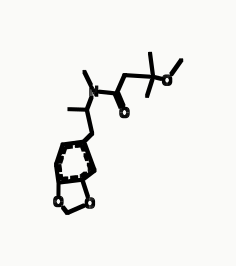 COC(C)(C)CC(=O)N(C)C(C)Cc1ccc2c(c1)OCO2